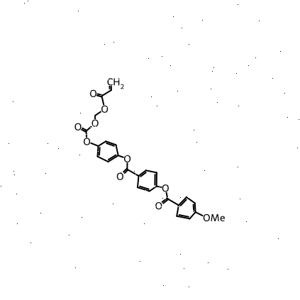 C=CC(=O)OCOC(=O)Oc1ccc(OC(=O)c2ccc(OC(=O)c3ccc(OC)cc3)cc2)cc1